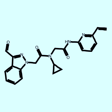 C=Cc1cccc(NC(=O)CN(C(=O)Cn2nc(C=O)c3ccccc32)C2CC2)n1